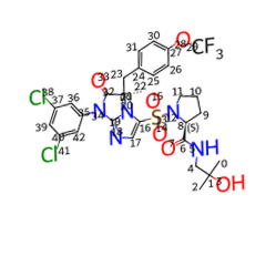 CC(C)(O)CNC(=O)[C@@H]1CCCN1S(=O)(=O)c1cnc2n1[C@](C)(Cc1ccc(OC(F)(F)F)cc1)C(=O)N2c1cc(Cl)cc(Cl)c1